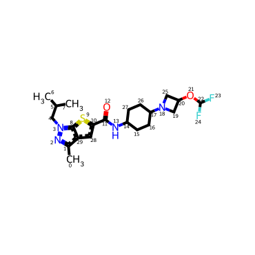 Cc1nn(CC(C)C)c2sc(C(=O)NC3CCC(N4CC(OC(F)F)C4)CC3)cc12